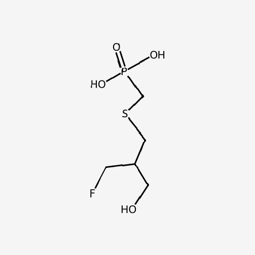 O=P(O)(O)CSCC(CO)CF